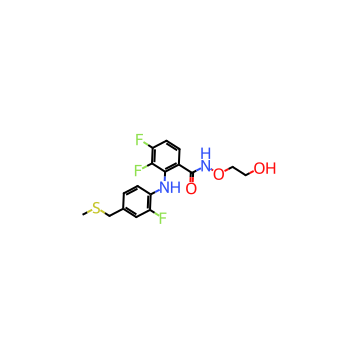 CSCc1ccc(Nc2c(C(=O)NOCCO)ccc(F)c2F)c(F)c1